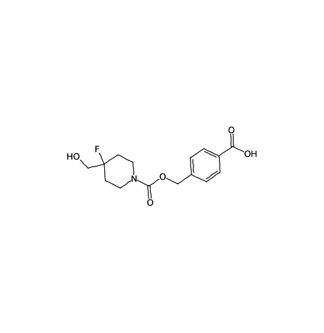 O=C(O)c1ccc(COC(=O)N2CCC(F)(CO)CC2)cc1